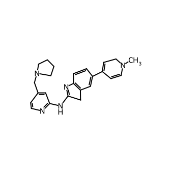 CN1C=CC(c2ccc3c(c2)CC(Nc2cc(CN4CCCC4)ccn2)=N3)=CC1